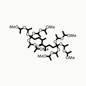 COC(C)OC(C)OC(CCC(C)C(=O)C(C)CCC(OC(C)OC(C)OC)(OC(C)OC(C)OC)OC(C)OC(C)OC)(OC(C)OC(C)OC)OC(C)OC(C)OC